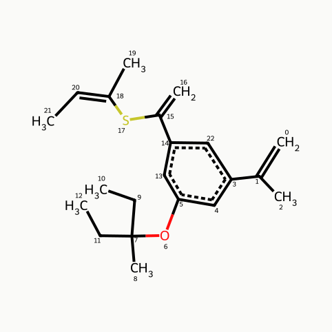 C=C(C)c1cc(OC(C)(CC)CC)cc(C(=C)S/C(C)=C\C)c1